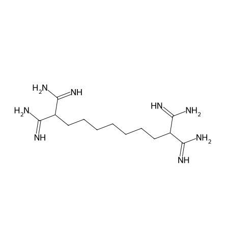 N=C(N)C(CCCCCCCC(C(=N)N)C(=N)N)C(=N)N